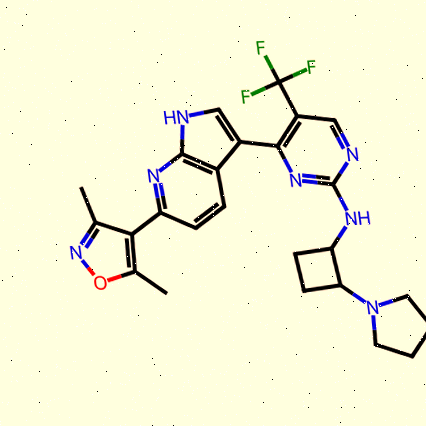 Cc1noc(C)c1-c1ccc2c(-c3nc(NC4CCC4N4CCCC4)ncc3C(F)(F)F)c[nH]c2n1